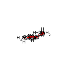 CNC(=O)CSSCCC(=O)N[C@@H]1C(OC)OC(C(=O)NC[C@H](NC(=O)C[C@H](NC(=O)c2ccc(NCc3cnc4nc(N)[nH]c(=O)c4n3)cc2)C(=O)O)C(=O)O)C(O)[C@@H]1O